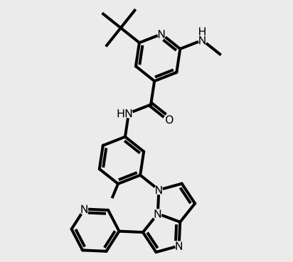 CNc1cc(C(=O)Nc2ccc(C)c(-n3ccc4ncc(-c5cccnc5)n43)c2)cc(C(C)(C)C)n1